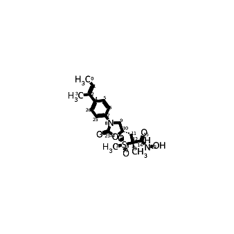 C/C=C(\C)c1ccc(N2C[C@H](C[C@](C)(C(=O)NO)S(C)(=O)=O)OC2=O)cc1